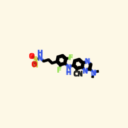 CN(C)c1cnc2ccc(Nc3c(F)ccc(CCCN[SH](=O)=O)c3F)c(C#N)c2n1